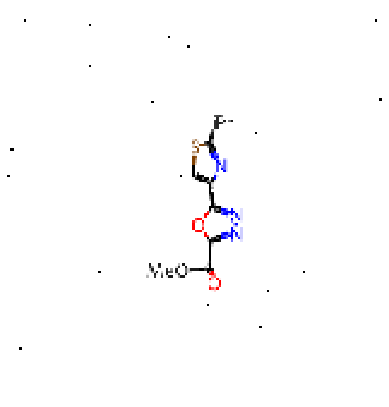 COC(=O)c1nnc(-c2csc(C(C)C)n2)o1